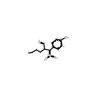 CCCCC(C=O)C(c1ccc(Cl)cc1)=S(=O)=O